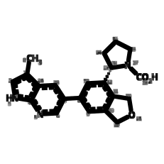 Cc1c[nH]c2ncc(-c3cc4c(c([C@@H]5CCCN5C(=O)O)c3)COC4)cc12